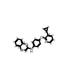 C=C(Nc1ccc(Oc2ncccc2C2CC2)cc1)Oc1ccccc1N